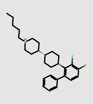 CCCCC[SiH]1CCC([C@H]2CC[C@H](c3c(-c4ccccc4)ccc(F)c3F)CC2)CC1